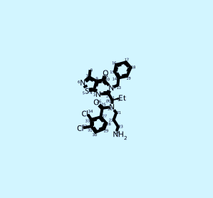 CC[C@H](c1nc2snc(C)c2c(=O)n1Cc1ccccc1)N(CCCN)C(=O)c1cccc(Cl)c1Cl